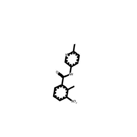 Cc1ccc(NC(=O)c2cccc([N+](=O)[O-])c2C)cn1